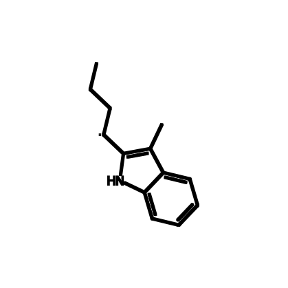 CCC[CH]c1[nH]c2ccccc2c1C